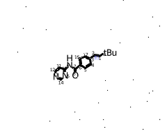 CC(C)(C)/C=C/c1ccc(C(=O)Nc2ccncn2)cc1